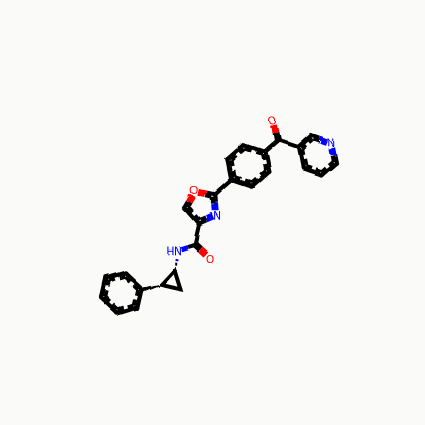 O=C(c1ccc(-c2nc(C(=O)N[C@@H]3C[C@H]3c3ccccc3)co2)cc1)c1cccnc1